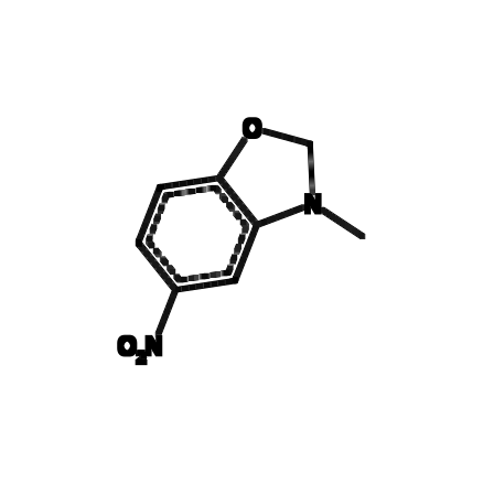 CN1COc2ccc([N+](=O)[O-])cc21